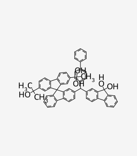 CC(C)(O)c1ccc2c(c1)C1(c3ccccc3-c3ccc(C(c4ccc(-c5ccccc5)cc4)c4ccc5c(c4)C(O)(O)c4ccccc4-5)cc31)c1cc(C(C)(O)O)ccc1-2